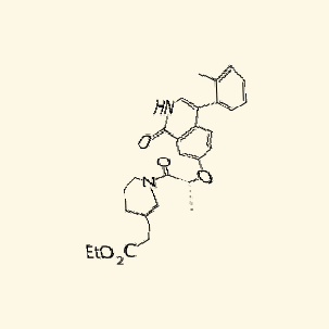 CCOC(=O)CC1CCCN(C(=O)[C@@H](C)Oc2ccc3c(-c4ccccc4C)c[nH]c(=O)c3c2)C1